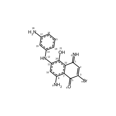 N=C1C=C(Br)C(=O)c2c(N)cc(Nc3cccc(N)c3)c(O)c21